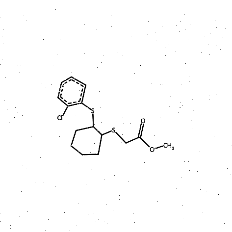 COC(=O)CSC1CCCCC1Sc1ccccc1Cl